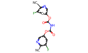 N#Cc1ncc(OC(=O)NC(=O)Oc2cnc(C#N)c(F)c2)cc1F